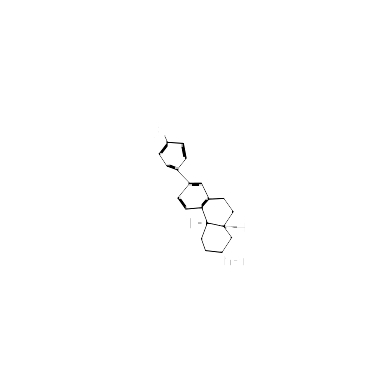 CCC[C@@H]1CC[C@@H]2c3ccc(-c4ccc(C(F)(F)F)cc4)cc3CC[C@@H]2C1